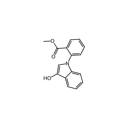 COC(=O)c1ccccc1-n1cc(O)c2ccccc21